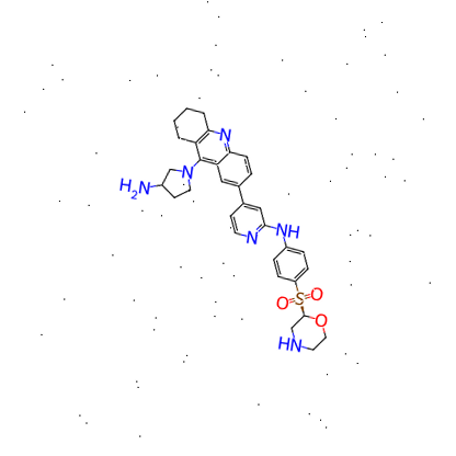 NC1CCN(c2c3c(nc4ccc(-c5ccnc(Nc6ccc(S(=O)(=O)[C@@H]7CNCCO7)cc6)c5)cc24)CCCC3)C1